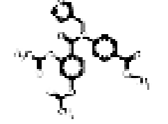 COC(=O)c1ccc(N(Cc2ccsc2)C(=O)c2ccc(OC(C)=O)cc2OC(C)=O)cc1